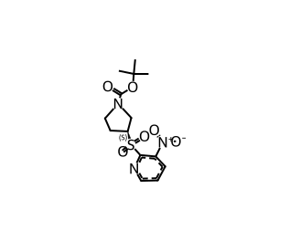 CC(C)(C)OC(=O)N1CC[C@H](S(=O)(=O)c2ncccc2[N+](=O)[O-])C1